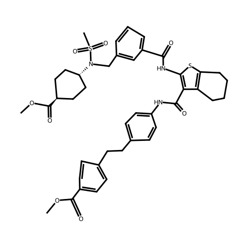 COC(=O)c1ccc(CCc2ccc(NC(=O)c3c(NC(=O)c4cccc(CN([C@H]5CC[C@H](C(=O)OC)CC5)S(C)(=O)=O)c4)sc4c3CCCC4)cc2)cc1